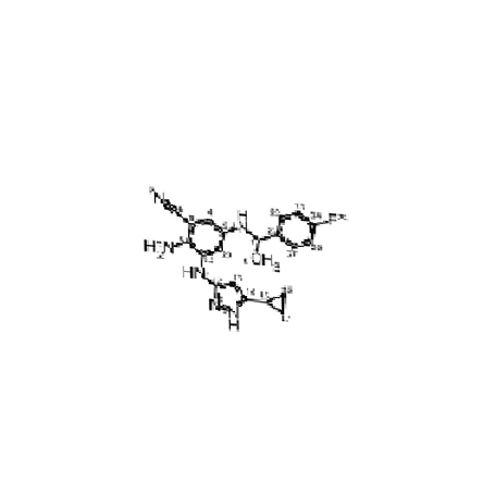 CC(Nc1cc(C#N)c(N)c(Nc2cc(C3CC3)[nH]n2)c1)c1ccc(F)cc1